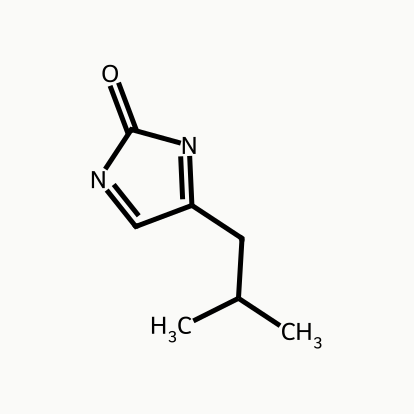 CC(C)CC1=NC(=O)N=C1